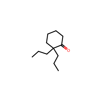 CCCC1(CCC)CCCCC1=O